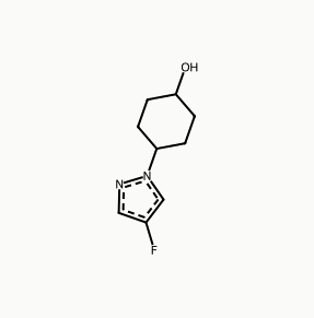 OC1CCC(n2cc(F)cn2)CC1